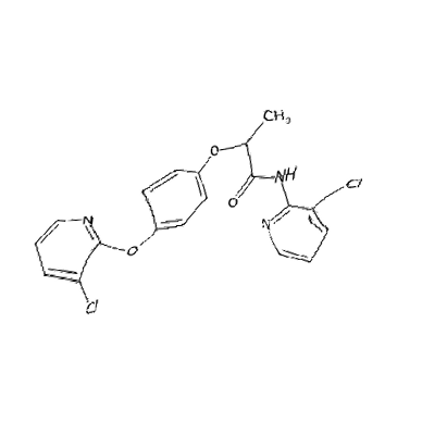 CC(Oc1ccc(Oc2ncccc2Cl)cc1)C(=O)Nc1ncccc1Cl